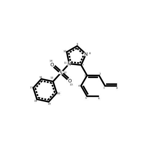 C=C/C=C(\C=C/C)c1nccn1S(=O)(=O)c1ccccc1